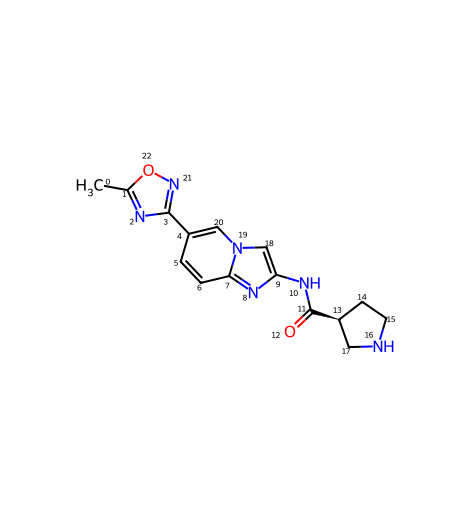 Cc1nc(-c2ccc3nc(NC(=O)[C@H]4CCNC4)cn3c2)no1